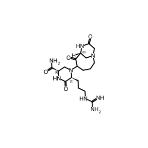 N=C(N)NCCC[C@H]1C(=O)N[C@@H](C(N)=O)CN1C1CCCN2CC(=O)N[C@H](C2)C1=O